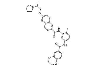 Cc1ccc(NC(=O)c2ccc3c(c2)OCCO3)cc1NC(=O)c1ccc2nc(OCC(C)N3CCCC3)ccc2c1